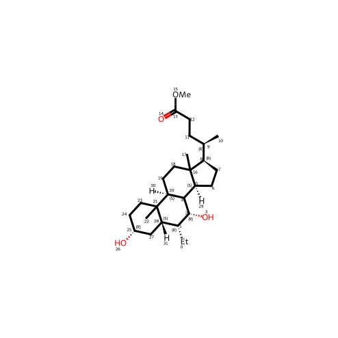 CC[C@H]1[C@@H](O)C2[C@@H]3CC[C@H]([C@H](C)CCC(=O)OC)C3(C)CC[C@@H]2C2(C)CC[C@@H](O)C[C@@H]12